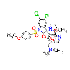 COc1ccc(S(=O)(=O)N2C(=O)C(c3cc(CN(C)C)ccc3OC)(N3CCC[C@H]3c3ncco3)c3cc(Cl)c(Cl)cc32)cc1